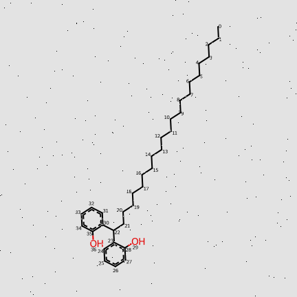 CCCCCCCCCCCCCCCCCCCCCCC(c1ccccc1O)c1ccccc1O